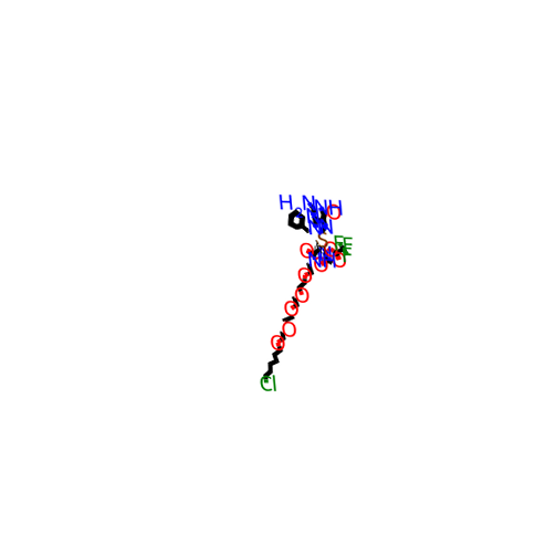 CC(=O)N(OC(=O)C(F)(F)F)[C@@H](CSc1nc2c(=O)[nH]c(N)nc2n1Cc1ccccc1)C(=O)NCCOCCOCCOCCOCCOCCCCCCCl